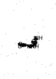 CC(C)Oc1c(-c2cn[nH]c2)ccc2nc(NC3CCN(CCC4CC5(CCN(C(=O)OC(C)(C)C)CC5)C4)CC3)nn12